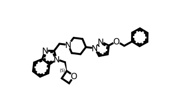 c1ccc(COc2ccn(C3CCN(Cc4nc5ccccc5n4C[C@@H]4CCO4)CC3)n2)cc1